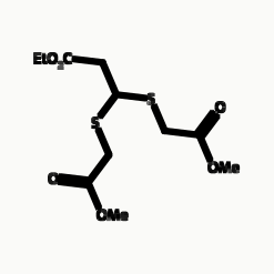 CCOC(=O)CC(SCC(=O)OC)SCC(=O)OC